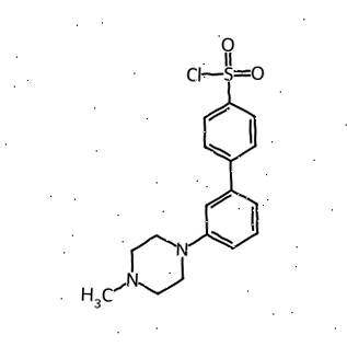 CN1CCN(c2cccc(-c3ccc(S(=O)(=O)Cl)cc3)c2)CC1